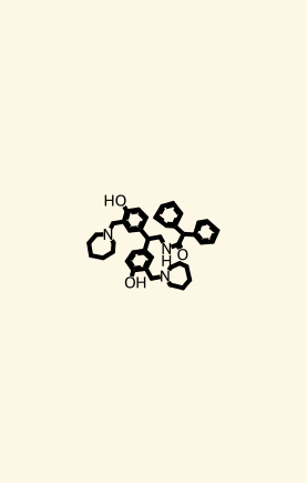 O=C(NCC(c1ccc(O)c(CN2CCCCCC2)c1)c1ccc(O)c(CN2CCCCCC2)c1)C(c1ccccc1)c1ccccc1